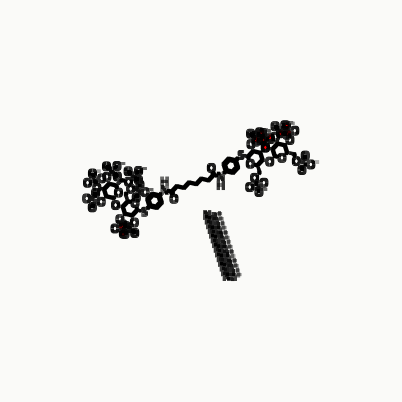 O=C(CCCCCCC(=O)Nc1ccc(S[C@@H]2O[C@H](COS(=O)(=O)[O-])[C@@H](O[C@H]3O[C@H](COS(=O)(=O)[O-])[C@@H](OS(=O)(=O)[O-])[C@H](OS(=O)(=O)[O-])[C@H]3OS(=O)(=O)[O-])[C@H](OS(=O)(=O)[O-])[C@H]2OS(=O)(=O)[O-])cc1)Nc1ccc(S[C@@H]2O[C@H](COS(=O)(=O)[O-])[C@@H](O[C@H]3O[C@H](COS(=O)(=O)[O-])[C@@H](OS(=O)(=O)[O-])[C@H](OS(=O)(=O)[O-])[C@H]3OS(=O)(=O)[O-])[C@H](OS(=O)(=O)[O-])[C@H]2OS(=O)(=O)[O-])cc1.[Na+].[Na+].[Na+].[Na+].[Na+].[Na+].[Na+].[Na+].[Na+].[Na+].[Na+].[Na+].[Na+].[Na+]